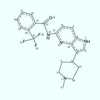 CN1CCC(c2c[nH]c3ccc(NC(=O)c4ccccc4C(F)(F)F)nc23)CC1